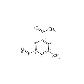 CC(=O)c1cc(C)cc(C=O)c1